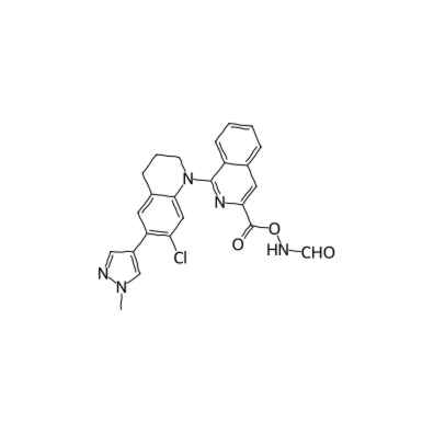 Cn1cc(-c2cc3c(cc2Cl)N(c2nc(C(=O)ONC=O)cc4ccccc24)CCC3)cn1